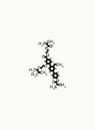 C=C(C)C(=C)OCCOc1cc(C(=O)OCCOC(=O)C(=C)C)ccc1-c1ccc(-c2ccc(OC(=O)C(=C)C)cc2)cc1CC